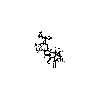 CC(=O)ON(CC1=C(C)C=C2C(=O)[C@](C)(O)C3(CC3)C(C)=C21)C(=O)C1CC1